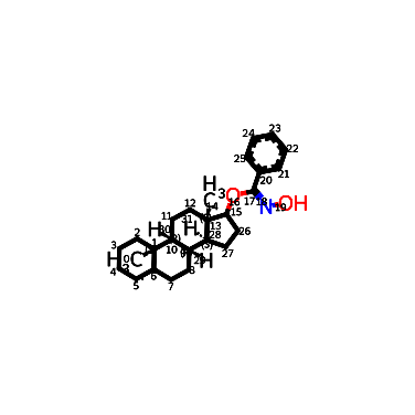 C[C@]12CCC[CH]C1CC[C@@H]1[C@H]2CC[C@]2(C)C(OC(=NO)c3ccccc3)CC[C@@H]12